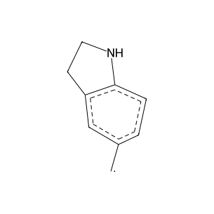 [CH2]c1ccc2c(c1)CCN2